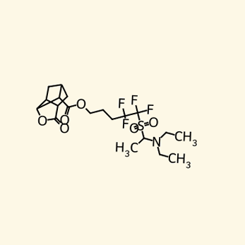 CCN(CC)C(C)S(=O)(=O)C(F)(F)C(F)(F)CCCOC(=O)C1C2CC3C(=O)OC1C3C2